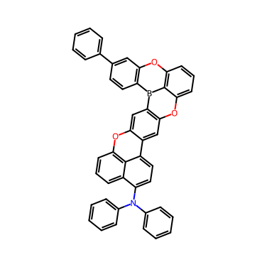 c1ccc(-c2ccc3c(c2)Oc2cccc4c2B3c2cc3c(cc2O4)-c2ccc(N(c4ccccc4)c4ccccc4)c4cccc(c24)O3)cc1